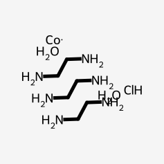 Cl.NCCN.NCCN.NCCN.O.O.[Co]